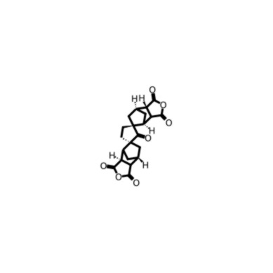 O=C1OC(=O)[C@@H]2C1[C@@H]1CC2[C@]2(CC[C@]3(C[C@@H]4C[C@H]3C3C(=O)OC(=O)[C@H]34)C2=O)C1